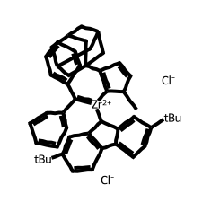 CC1C=CC(C23CC4CC(CC(C4)C2)C3)=[C]1[Zr+2](=[C](c1ccccc1)c1ccccc1)[CH]1c2cc(C(C)(C)C)ccc2-c2ccc(C(C)(C)C)cc21.[Cl-].[Cl-]